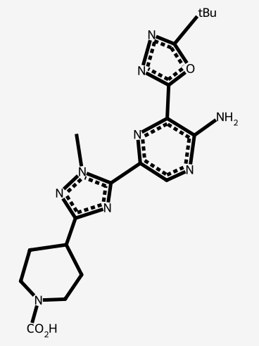 Cn1nc(C2CCN(C(=O)O)CC2)nc1-c1cnc(N)c(-c2nnc(C(C)(C)C)o2)n1